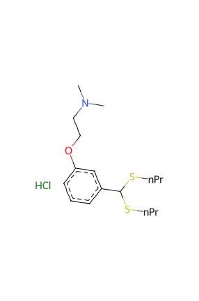 CCCSC(SCCC)c1cccc(OCCN(C)C)c1.Cl